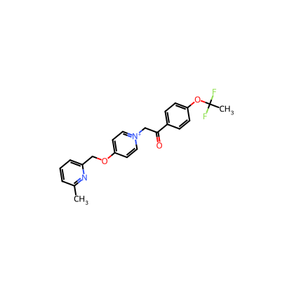 Cc1cccc(COc2cc[n+](CC(=O)c3ccc(OC(C)(F)F)cc3)cc2)n1